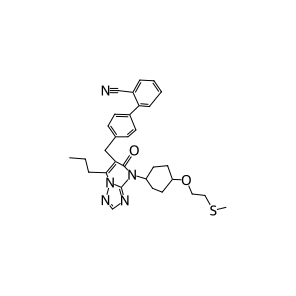 CCCc1c(Cc2ccc(-c3ccccc3C#N)cc2)c(=O)n(C2CCC(OCCSC)CC2)c2ncnn12